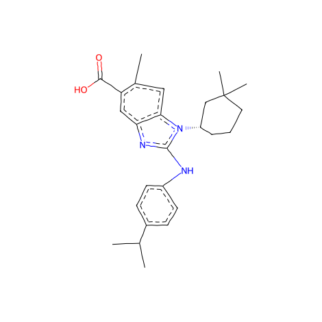 Cc1cc2c(cc1C(=O)O)nc(Nc1ccc(C(C)C)cc1)n2[C@H]1CCCC(C)(C)C1